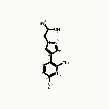 CC(C)C(O)Cn1cc(-c2ccc(C#N)nc2Cl)cn1